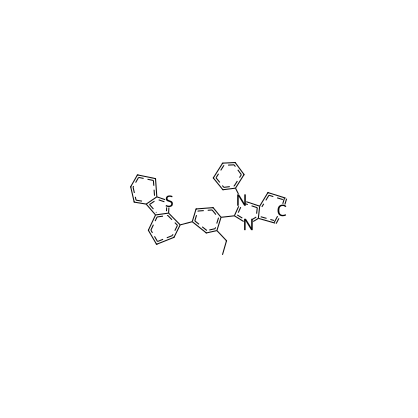 CCc1cc(-c2cccc3c2sc2ccccc23)ccc1-c1nc2ccccc2n1-c1ccccc1